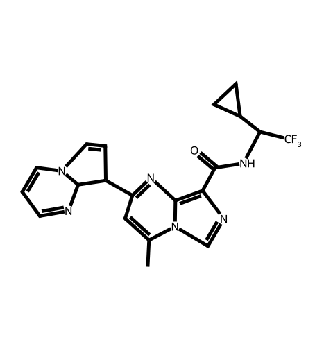 Cc1cc(C2C=CN3C=CC=NC23)nc2c(C(=O)NC(C3CC3)C(F)(F)F)ncn12